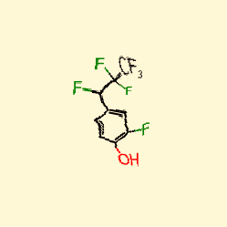 Oc1ccc(C(F)C(F)(F)C(F)(F)F)cc1F